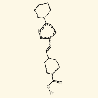 CC(C)OC(=O)N1CCC(/C=C/c2ccc(N3CCCCC3)nc2)CC1